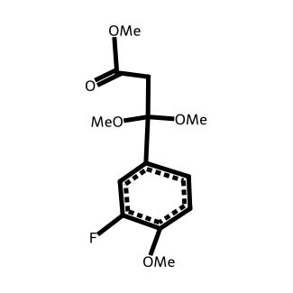 COC(=O)CC(OC)(OC)c1ccc(OC)c(F)c1